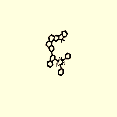 CC1(C)c2ccccc2-c2cc3ccc4ccc5cc(-c6cc(-c7nc(-c8ccccc8)nc(-c8ccccc8)n7)c7ccccc7c6)ccc5c4c3cc21